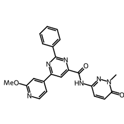 COc1cc(-c2cc(C(=O)Nc3ccc(=O)n(C)n3)nc(-c3ccccc3)n2)ccn1